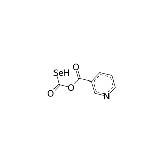 O=C([SeH])OC(=O)c1cccnc1